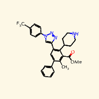 COC(=O)c1c(C)c(-c2ccccc2)cc(-c2cn(-c3ccc(C(F)(F)F)cc3)nn2)c1C1CCNCC1